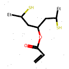 C=CC(=O)OC(CC(S)CC)CC(S)CC